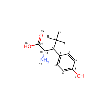 CC(C)(C)C(c1ccc(O)cc1)[C@H](N)C(=O)O